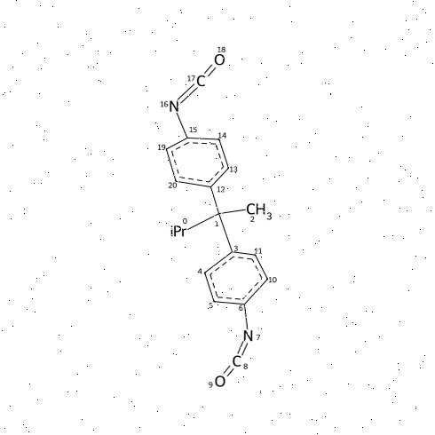 CC(C)C(C)(c1ccc(N=C=O)cc1)c1ccc(N=C=O)cc1